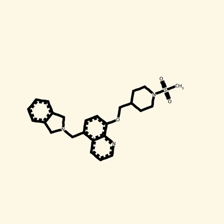 CS(=O)(=O)N1CCC(COc2ccc(CN3Cc4ccccc4C3)c3cccnc23)CC1